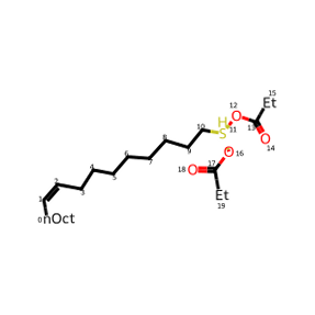 CCCCCCCC/C=C\CCCCCCCC[SH](OC(=O)CC)OC(=O)CC